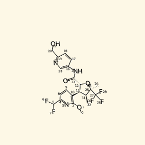 COc1nc(C(F)F)ccc1[C@H]1[C@H](C(=O)Nc2ccc(CO)nc2)O[C@@](C)(C(F)(F)F)[C@H]1C